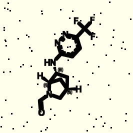 O=CN1C[C@H]2C[C@@H](Nc3ccc(C(F)(F)F)nn3)[C@@H]1C2